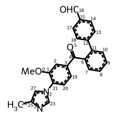 COc1cc(C(=O)c2ccccc2-c2ccc(C=O)cc2)ccc1-n1cnc(C)c1